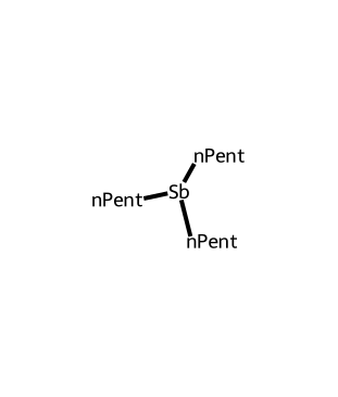 CCCC[CH2][Sb]([CH2]CCCC)[CH2]CCCC